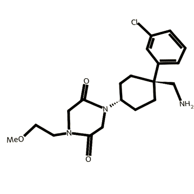 COCCN1CC(=O)N([C@H]2CC[C@@](CN)(c3cccc(Cl)c3)CC2)CC1=O